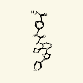 C/C=C(\C=C/C(C)=O)n1ccc(N2CCOC(C(C)C(=O)Nc3ccc(C(=N)N)cc3)C2=C2CCC2)n1